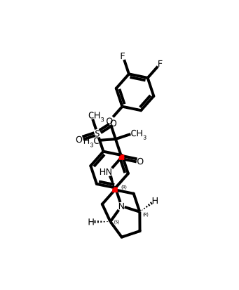 CC(C)(Oc1ccc(F)c(F)c1)C(=O)N[C@H]1C[C@H]2CC[C@@H](C1)N2c1ccc(S(C)(=O)=O)cc1